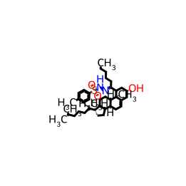 CCCCCC(=NNS(=O)(=O)c1ccc(C)cc1)C1C[C@H](O)CC2=CC[C@H]3[C@@H]4CC[C@H]([C@H](C)CCCC(C)C)[C@@]4(C)CC[C@@H]3[C@]21C